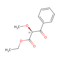 CCOC(=O)[C@@H](OC)C(=O)c1ccccc1